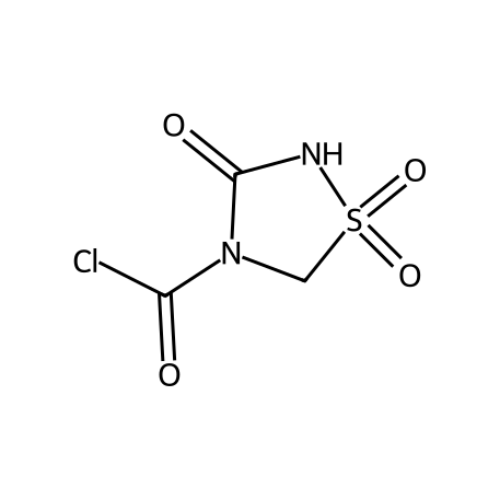 O=C(Cl)N1CS(=O)(=O)NC1=O